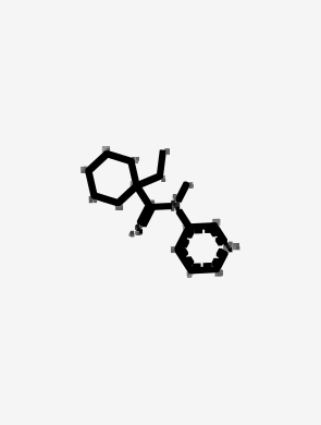 CCC1(C(=S)N(C)c2cccnc2)CCCCC1